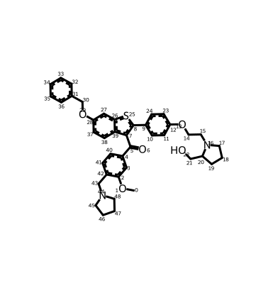 COc1cc(C(=O)c2c(-c3ccc(OCCN4CCCC4CO)cc3)sc3cc(OCc4ccccc4)ccc23)ccc1CN1CCCC1